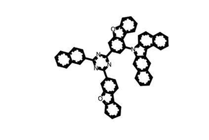 c1ccc2cc(-c3nc(-c4ccc5c(c4)oc4ccccc45)nc(-c4cc(-n5c6cc7ccccc7cc6c6c7ccccc7ccc65)c5c(c4)oc4ccccc45)n3)ccc2c1